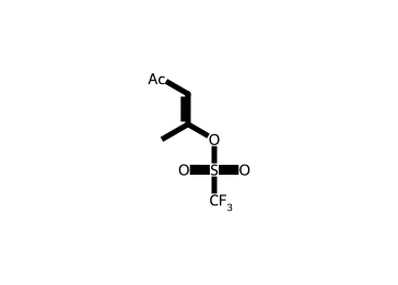 CC(=O)/C=C(\C)OS(=O)(=O)C(F)(F)F